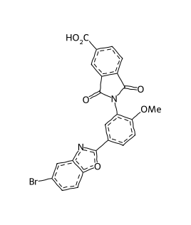 COc1ccc(-c2nc3cc(Br)ccc3o2)cc1N1C(=O)c2ccc(C(=O)O)cc2C1=O